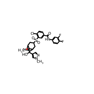 C[C@H]1CC2CC(S(=O)(=O)c3cc(C(=O)Nc4ccc(F)c(F)c4)ccc3Cl)CC1[C@@]2(O)C(O)c1cnn(C)c1